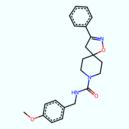 COc1ccc(CNC(=O)N2CCC3(CC2)CC(c2ccccc2)=NO3)cc1